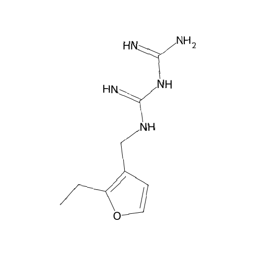 CCc1occc1CNC(=N)NC(=N)N